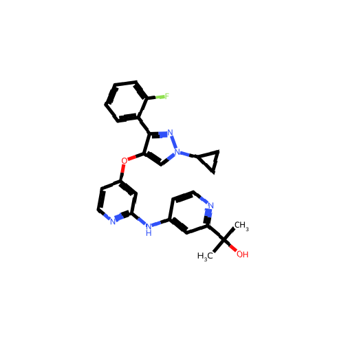 CC(C)(O)c1cc(Nc2cc(Oc3cn(C4CC4)nc3-c3ccccc3F)ccn2)ccn1